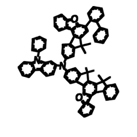 CC1(C)c2cc(N(c3ccc4c(c3)C(C)(C)c3c5c(c6c(oc7ccccc76)c3-4)-c3ccccc3C5(C)C)c3ccc4c5ccccc5n(-c5ccccc5)c4c3)ccc2-c2c1cc(-c1ccccc1-c1ccccc1)c1oc3ccccc3c21